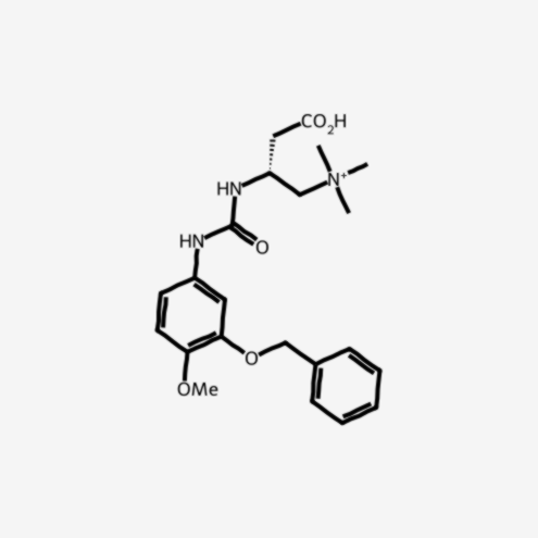 COc1ccc(NC(=O)N[C@H](CC(=O)O)C[N+](C)(C)C)cc1OCc1ccccc1